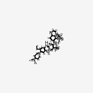 CCc1cc(Nc2ncc(C(F)(F)F)c(Nc3ccc4nccnc4c3N(C)S(C)(=O)=O)n2)c(OC)cc1N1CCC(N(C)C)CC1